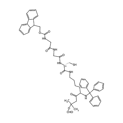 CC(C)(CC(=O)C(CCCCNC(=O)[C@@H](CS)NC(=O)CNC(=O)CNC(=O)OCC1c2ccccc2-c2ccccc21)NC(c1ccccc1)(c1ccccc1)c1ccccc1)O[C]=O